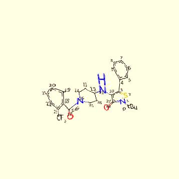 CC(C)(C)n1sc(-c2ccccc2)c(NC2CCN(C(=O)c3ccccc3C(F)(F)F)CC2)c1=O